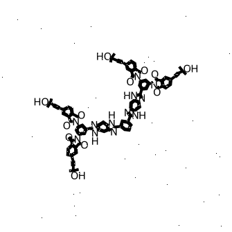 CC(C)(O)C#Cc1ccc2c(c1)C(=O)N(c1cc(-c3nc4cc5[nH]c(-c6cccc(-c7nc8cc9[nH]c(-c%10cc(N%11C(=O)c%12ccc(C#CC(C)(C)O)cc%12C%11=O)cc(N%11C(=O)c%12ccc(C#CC(C)(C)O)cc%12C%11=O)c%10)nc9cc8[nH]7)c6)nc5cc4[nH]3)cc(N3C(=O)c4ccc(C#CC(C)(C)O)cc4C3=O)c1)C2=O